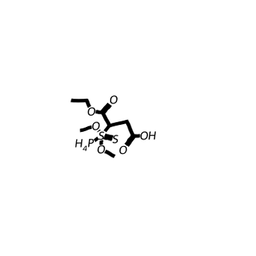 CCOC(=O)C(CC(=O)O)S([PH4])(=S)(OC)OC